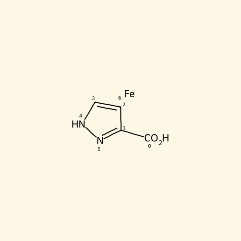 O=C(O)c1cc[nH]n1.[Fe]